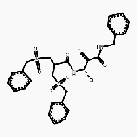 CC[C@H](NC(=O)C(CS(=O)(=O)Cc1ccccc1)CS(=O)(=O)Cc1ccccc1)C(=O)C(=O)NCc1ccccc1